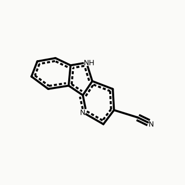 N#Cc1cnc2c(c1)[nH]c1ccccc12